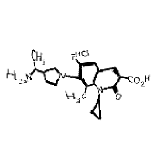 Cc1c(N2CCC([C@H](C)N)C2)c(F)cc2cc(C(=O)O)c(=O)n(C3CC3)c12.Cl